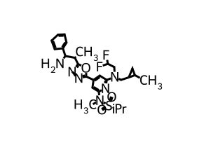 CC1CC1CN(CC(F)F)c1cc(-c2nnc([C@H](C)C(N)c3ccccc3)o2)cc(N(C)S(=O)(=O)C(C)C)n1